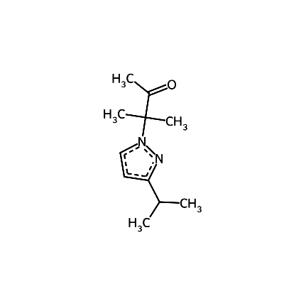 CC(=O)C(C)(C)n1ccc(C(C)C)n1